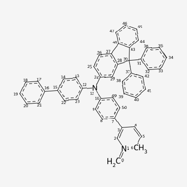 C=N/C=C(\C=C/C)c1ccc(N(c2ccc(-c3ccccc3)cc2)c2ccc3c(c2)C(c2ccccc2)(c2ccccc2)c2ccccc2-3)cc1